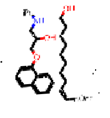 CC(C)NCC(O)COc1cccc2ccccc12.CCCCCCCC/C=C\CCCCCCCCO